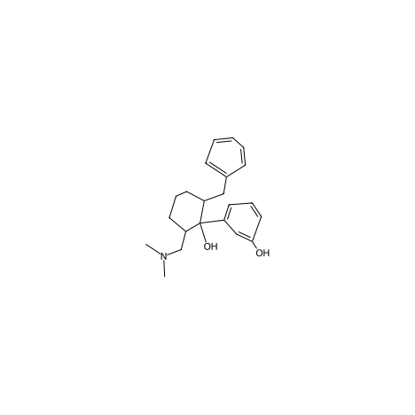 CN(C)CC1CCCC(Cc2ccccc2)C1(O)c1cccc(O)c1